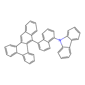 c1ccc2c(-c3cccc4c(-n5c6ccccc6c6ccccc65)cccc34)c3c4ccccc4c4ccccc4c3cc2c1